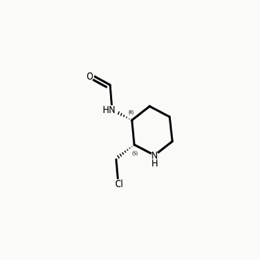 O=CN[C@@H]1CCCN[C@@H]1CCl